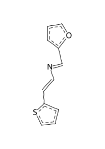 C(=Cc1cccs1)N=Cc1ccco1